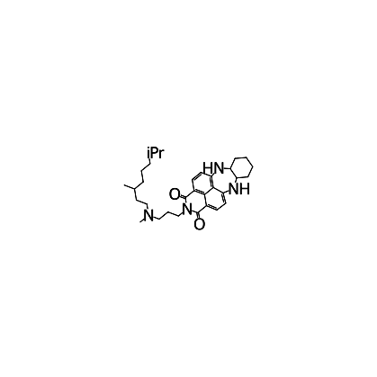 CC(C)CCCC(C)CCN(C)CCCN1C(=O)c2ccc3c4c(ccc(c24)C1=O)NC1CCCCC1N3